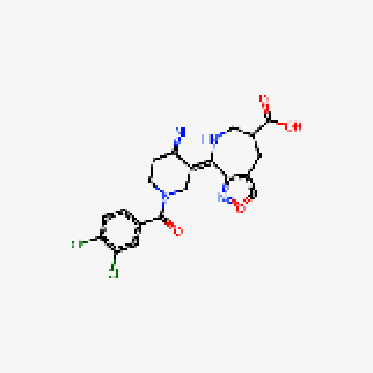 N=C1CCN(C(=O)c2ccc(Cl)c(Cl)c2)C/C1=C1/NCC(C(=O)O)Cc2conc21